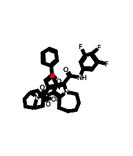 Cc1c(S(=O)(=O)N2C3CCC2CC(O)(c2cc(-c4ccccc4)on2)C3)c2n(c1C(=O)Nc1cc(F)c(F)c(F)c1)CCCCC2